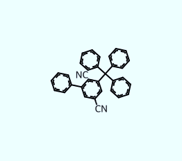 N#Cc1cc(-c2ccccc2)c(C#N)c(C(c2ccccc2)(c2ccccc2)c2ccccc2)c1